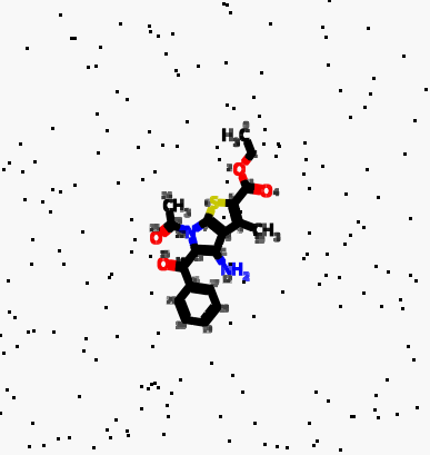 CCOC(=O)c1sc2c(c1C)c(N)c(C(=O)c1ccccc1)n2C(C)=O